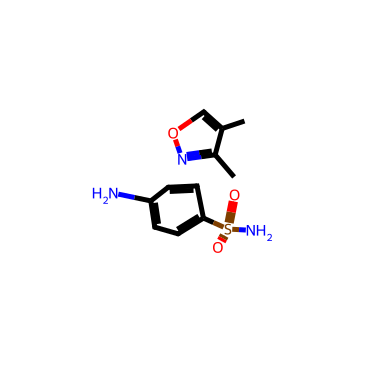 Cc1conc1C.Nc1ccc(S(N)(=O)=O)cc1